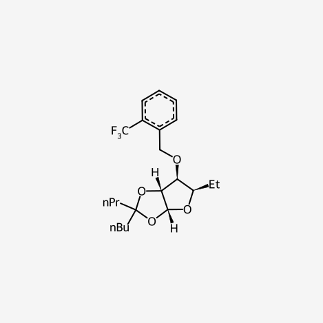 CCCCC1(CCC)O[C@H]2O[C@H](CC)[C@H](OCc3ccccc3C(F)(F)F)[C@H]2O1